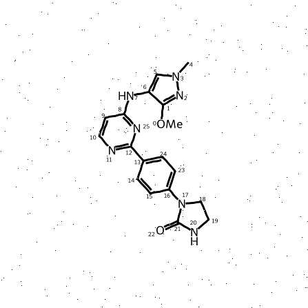 COc1nn(C)cc1Nc1ccnc(-c2ccc(N3CCNC3=O)cc2)n1